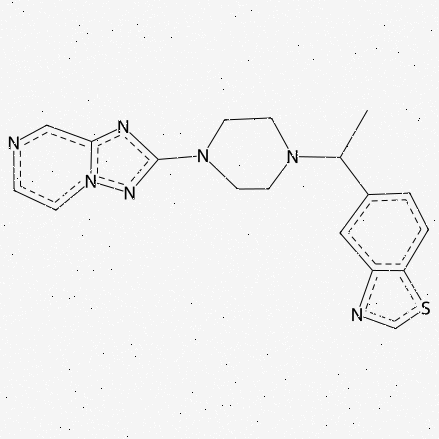 CC(c1ccc2scnc2c1)N1CCN(c2nc3cnccn3n2)CC1